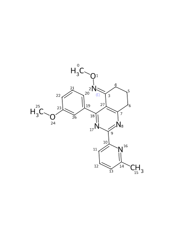 CO/N=C1\CCCc2nc(-c3cccc(C)n3)nc(-c3cccc(OC)c3)c21